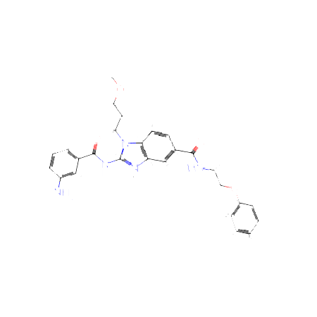 COCCCn1c(NC(=O)c2cccc(N)c2)nc2cc(C(=O)NCCOc3ccccc3)ccc21